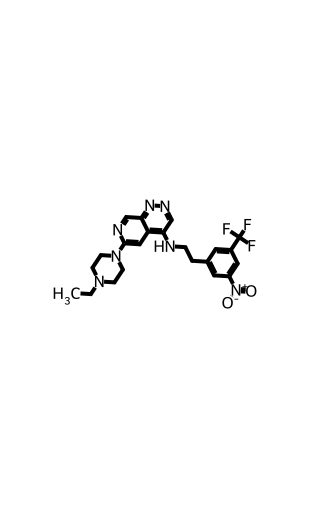 CCN1CCN(c2cc3c(NCCc4cc([N+](=O)[O-])cc(C(F)(F)F)c4)cnnc3cn2)CC1